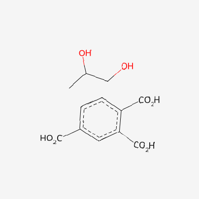 CC(O)CO.O=C(O)c1ccc(C(=O)O)c(C(=O)O)c1